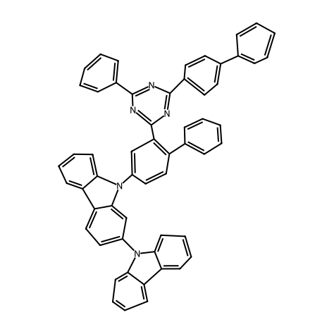 c1ccc(-c2ccc(-c3nc(-c4ccccc4)nc(-c4cc(-n5c6ccccc6c6ccc(-n7c8ccccc8c8ccccc87)cc65)ccc4-c4ccccc4)n3)cc2)cc1